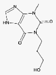 Cn1c(=O)n(CCCO)c(=O)c2[nH]cnc21